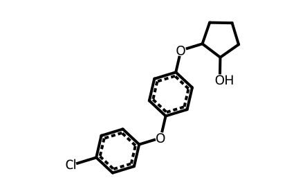 OC1CCCC1Oc1ccc(Oc2ccc(Cl)cc2)cc1